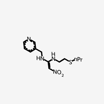 CCCSCCNC(=C[N+](=O)[O-])NCc1cccnc1